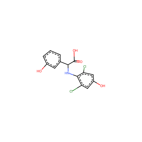 O=C(O)C(Nc1c(Cl)cc(O)cc1Cl)c1cccc(O)c1